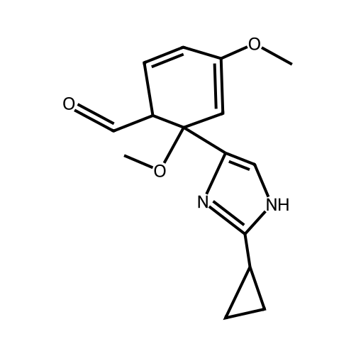 COC1=CC(OC)(c2c[nH]c(C3CC3)n2)C(C=O)C=C1